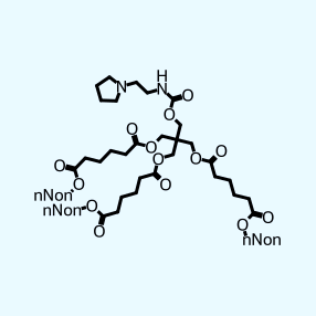 CCCCCCCCCOC(=O)CCCCC(=O)OCC(COC(=O)CCCCC(=O)OCCCCCCCCC)(COC(=O)CCCCC(=O)OCCCCCCCCC)COC(=O)NCCN1CCCC1